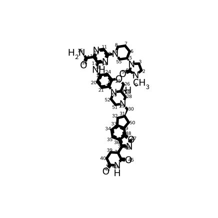 CN1CCN([C@@H]2CCCN(c3cnc(C(N)=O)c(Nc4ccc5c(c4)OC[C@H]4CN(C[C@@H]6Cc7ccc8c(C9CCC(=O)NC9=O)noc8c7C6)CCN54)n3)C2)C1=O